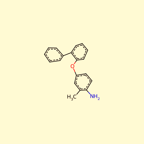 Cc1cc(Oc2ccccc2-c2ccccc2)ccc1N